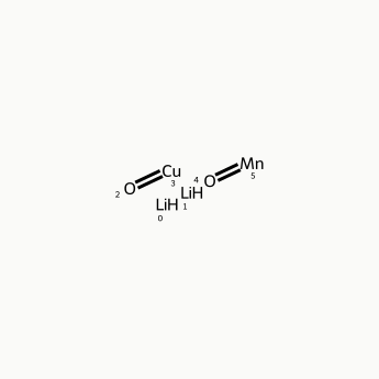 [LiH].[LiH].[O]=[Cu].[O]=[Mn]